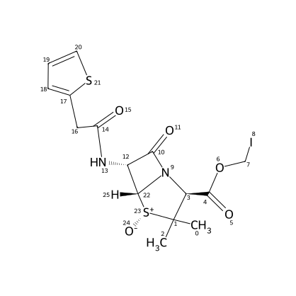 CC1(C)[C@H](C(=O)OCI)N2C(=O)[C@@H](NC(=O)Cc3cccs3)[C@H]2[S@@+]1[O-]